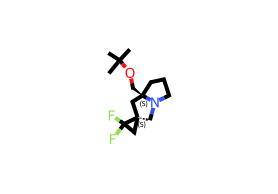 CC(C)(C)OC[C@@]12CCCN1C[C@@]1(CC1(F)F)C2